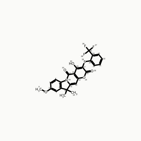 COc1ccc2c(c1)C(C)(C)c1cc3oc(=O)c(Sc4ccccc4C(F)(F)F)c(O)c3c(=O)n1-2